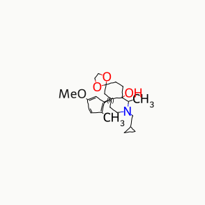 COc1ccc(C)c([C@]23CCN(CC4CC4)C(C)C2(O)CCC2(C3)OCCO2)c1